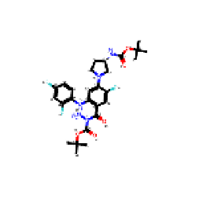 CC(C)(C)OC(=O)N[C@H]1CCN(c2cc(Nc3ccc(F)cc3F)c(C(=O)N(N)C(=O)OC(C)(C)C)cc2F)C1